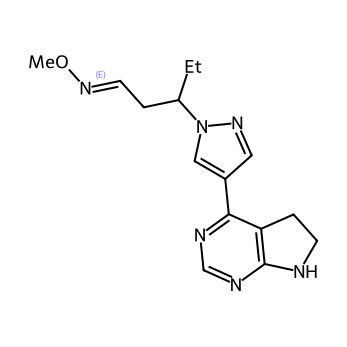 CCC(C/C=N/OC)n1cc(-c2ncnc3c2CCN3)cn1